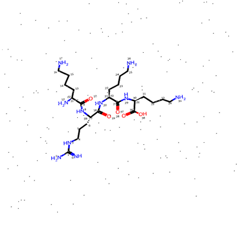 N=C(N)NCCC[C@H](NC(=O)[C@@H](N)CCCCN)C(=O)N[C@@H](CCCCN)C(=O)N[C@@H](CCCCN)C(=O)O